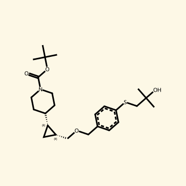 CC(C)(O)CSc1ccc(COC[C@@H]2C[C@@H]2C2CCN(C(=O)OC(C)(C)C)CC2)cc1